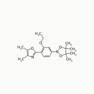 CCOc1cc(B2OC(C)(C)C(C)(C)O2)ccc1-c1nc(C)c(C)o1